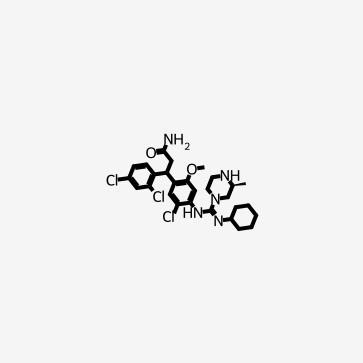 COc1cc(N/C(=N/C2CCCCC2)N2CCN[C@@H](C)C2)c(Cl)cc1C(CC(N)=O)c1ccc(Cl)cc1Cl